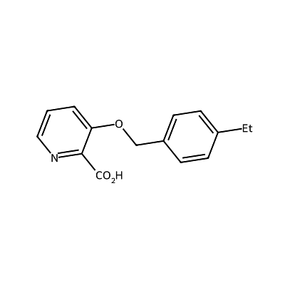 CCc1ccc(COc2cccnc2C(=O)O)cc1